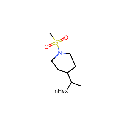 CCCCCCC(C)C1CCN(S(C)(=O)=O)CC1